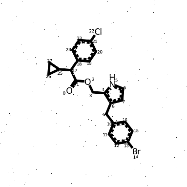 O=C(OCc1[nH]ccc1Cc1ccc(Br)cc1)C(c1ccc(Cl)cc1)C1CC1